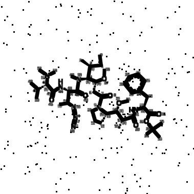 CC[C@H](C)[C@@H]([C@@H](CC(=O)N1CCC[C@H]1[C@H](OC)[C@@H](C)C(=O)N[C@@H](Cc1ccccc1)C(=O)OC(C)(C)C)OC)N(C)C(=O)[C@@H](NC(=O)[C@H](C(C)C)N(C)C)C(C)N=[N+]=[N-]